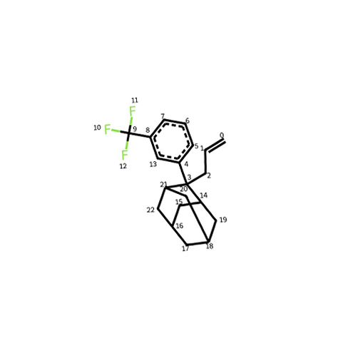 C=CCC1(c2cccc(C(F)(F)F)c2)C2CC3CC(C2)CC1C3